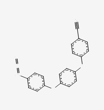 N#Cc1ccc(Oc2ccc(Oc3ccc(N=C=O)cc3)cc2)cc1